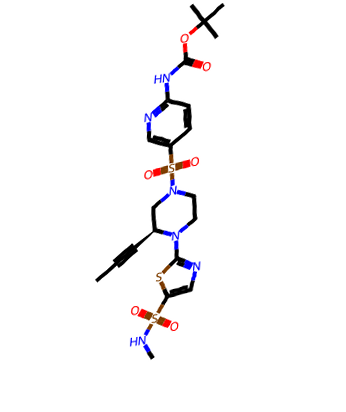 CC#C[C@H]1CN(S(=O)(=O)c2ccc(NC(=O)OC(C)(C)C)nc2)CCN1c1ncc(S(=O)(=O)NC)s1